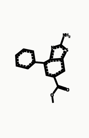 COC(=O)c1cc(-c2ccccc2)c2nc(N)sc2c1